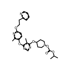 Cc1nc(OCCc2ccccn2)ccc1Oc1ncnc(OC2CCN(OC(=O)OC(C)C)CC2)c1C